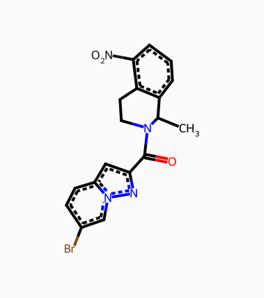 CC1c2cccc([N+](=O)[O-])c2CCN1C(=O)c1cc2ccc(Br)cn2n1